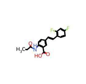 CCC(=O)Nc1ccc(C=Cc2ccc(F)cc2F)cc1C(=O)O